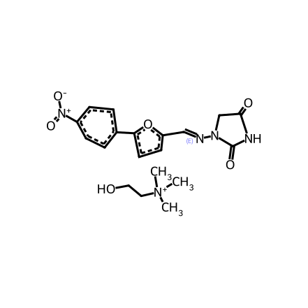 C[N+](C)(C)CCO.O=C1CN(/N=C/c2ccc(-c3ccc([N+](=O)[O-])cc3)o2)C(=O)N1